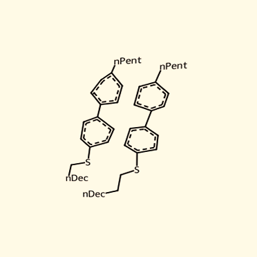 CCCCCCCCCCCCSc1ccc(-c2ccc(CCCCC)cc2)cc1.CCCCCCCCCCCSc1ccc(-c2ccc(CCCCC)cc2)cc1